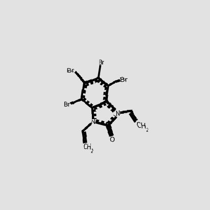 C=Cn1c(=O)n(C=C)c2c(Br)c(Br)c(Br)c(Br)c21